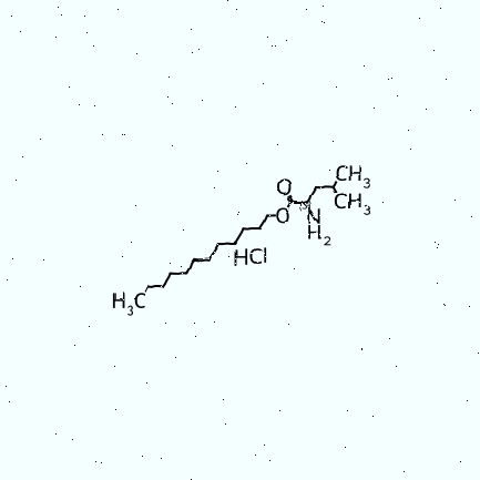 CCCCCCCCCCCCOC(=O)[C@@H](N)CC(C)C.Cl